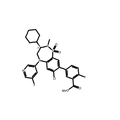 COC(=O)c1cc(-c2cc3c(cc2Cl)N(c2cncc(F)c2)C[C@@H](C2CCCCC2)N(C)S3(=O)=O)ccc1F